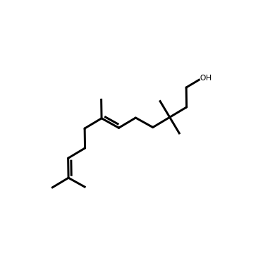 CC(C)=CCCC(C)=CCCC(C)(C)CCO